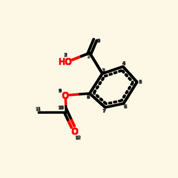 C=C(O)c1ccccc1OC(C)=O